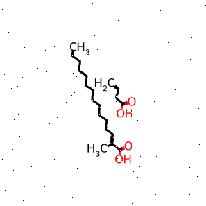 C=CCC(=O)O.CCCCCCCCCCCC/C=C(\C)C(=O)O